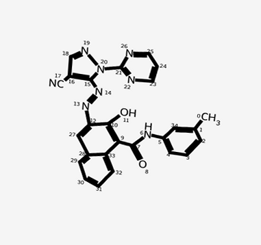 Cc1cccc(NC(=O)c2c(O)c(/N=N/c3c(C#N)cnn3-c3ncccn3)cc3ccccc23)c1